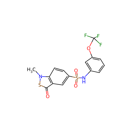 Cn1sc(=O)c2cc(S(=O)(=O)Nc3cccc(OC(F)(F)F)c3)ccc21